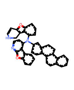 C1=Cc2oc3cccc(N(c4ccc5c(ccc6c7ccccc7ccc56)c4)c4ccnc5oc6ccccc6c45)c3c2CN1